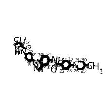 Cc1c[nH]c(C(=O)Nc2ccc(-n3ncc4cc(NC(=O)c5ccc(N6CCC(C)CC6)cc5)ccc43)cc2)c1